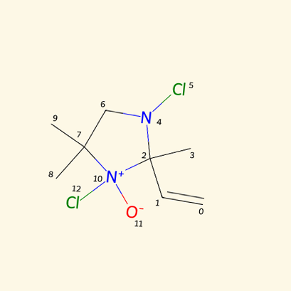 C=CC1(C)N(Cl)CC(C)(C)[N+]1([O-])Cl